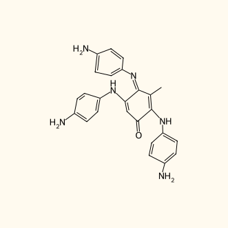 CC1=C(Nc2ccc(N)cc2)C(=O)C=C(Nc2ccc(N)cc2)/C1=N\c1ccc(N)cc1